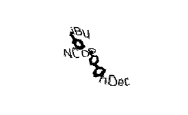 CCCCCCCCCCc1ccc(C2CCC(C(=O)Oc3ccc(CC(C)CC)cc3C#N)CC2)cc1